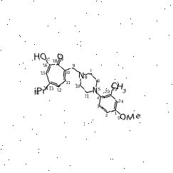 COc1ccc(N2CCN(Cc3ccc(C(C)C)cc(O)c3=O)CC2)c(C)c1